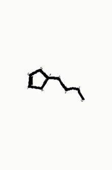 CCC[CH]C1CC=CC1